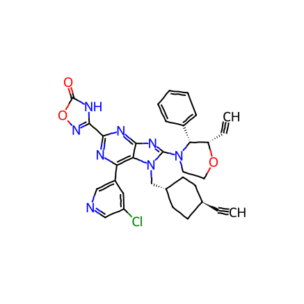 C#C[C@@H]1OCCN(c2nc3nc(-c4noc(=O)[nH]4)nc(-c4cncc(Cl)c4)c3n2C[C@H]2CC[C@H](C#C)CC2)[C@@H]1c1ccccc1